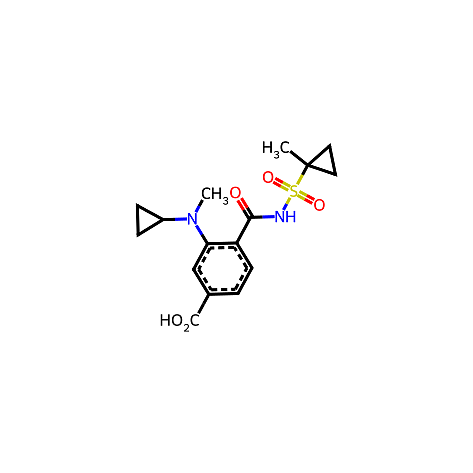 CN(c1cc(C(=O)O)ccc1C(=O)NS(=O)(=O)C1(C)CC1)C1CC1